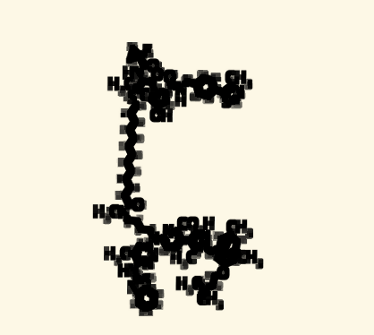 Cc1cc(N(CCCCN(C)C(=O)CCCCCCCCCCCCSC(C)(C)[C@H](NC(=O)C2(F)CC2)C(=O)N2C[C@H](O)C[C@H]2C(=O)NCc2ccc(-c3scnc3C)cc2)c2ccc(-c3cnn(CC45CC6(C)CC(C)(C4)CC(OCCN(C)C)(C6)C5)c3C)c(C(=O)O)n2)nnc1Nc1nc2ccccc2s1